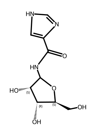 O=C(NC1O[C@@H](CO)[C@H](O)[C@@H]1O)c1c[nH]cn1